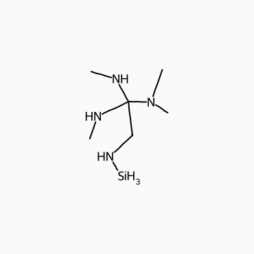 CNC(CN[SiH3])(NC)N(C)C